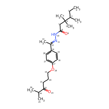 CCC(C)C(C)(C)CC(=O)N/N=C(\C)c1ccc(OCCCC(=O)C(C)C)cc1